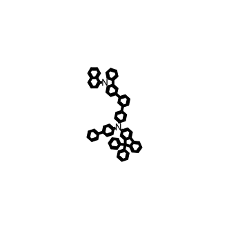 c1ccc(-c2ccc(N(c3ccc(-c4cccc(-c5ccc6c(c5)c5ccccc5n6-c5cccc6ccccc56)c4)cc3)c3ccc4c(c3)C(c3ccccc3)(c3ccccc3)c3ccccc3-4)cc2)cc1